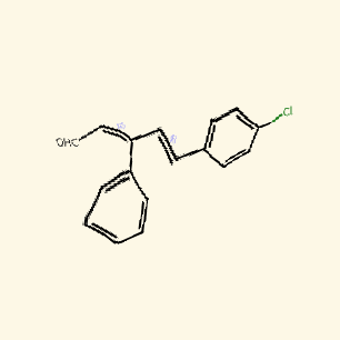 O=C/C=C(/C=C/c1ccc(Cl)cc1)c1ccccc1